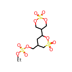 CCOS(=O)(=O)OCC1CC(C2COS(=O)(=O)OC2)OS(=O)(=O)C1